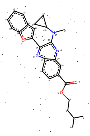 CC(C)CCOC(=O)c1ccc2nc(-c3cc4ccccc4o3)c(N(C)C3CC3)nc2c1